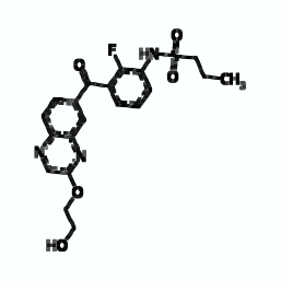 CCCS(=O)(=O)Nc1cccc(C(=O)c2ccc3ncc(OCCO)nc3c2)c1F